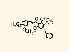 COc1ccc(/C=C/C(=O)c2c(O)cc(OCc3ccccc3)c(OC)c2OC)cc1OC